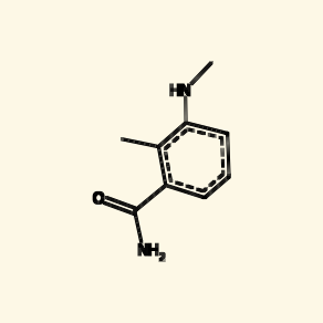 CNc1cccc(C(N)=O)c1C